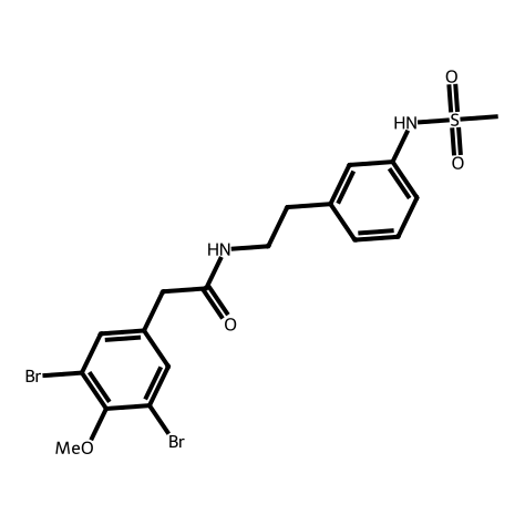 COc1c(Br)cc(CC(=O)NCCc2cccc(NS(C)(=O)=O)c2)cc1Br